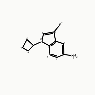 Nc1cnc2c(c1)c(F)cn2C1CCC1